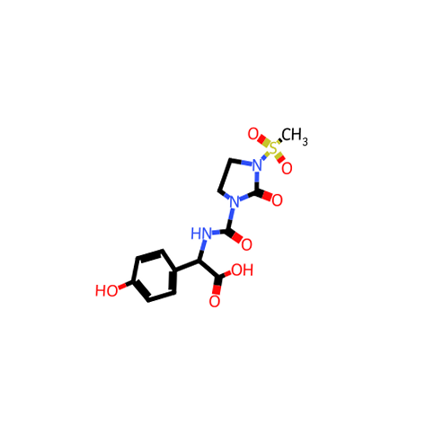 CS(=O)(=O)N1CCN(C(=O)NC(C(=O)O)c2ccc(O)cc2)C1=O